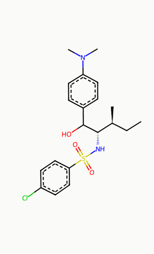 CC[C@H](C)[C@H](NS(=O)(=O)c1ccc(Cl)cc1)C(O)c1ccc(N(C)C)cc1